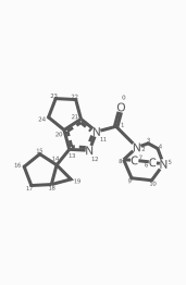 O=C(N1CCN2CCC1CC2)n1nc(C23CCCC2C3)c2c1CCC2